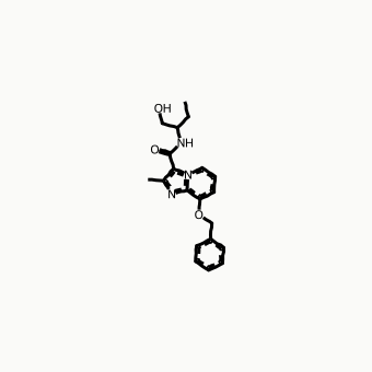 CCC(CO)NC(=O)c1c(C)nc2c(OCc3ccccc3)cccn12